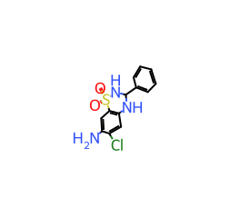 Nc1cc2c(cc1Cl)NC(c1ccccc1)NS2(=O)=O